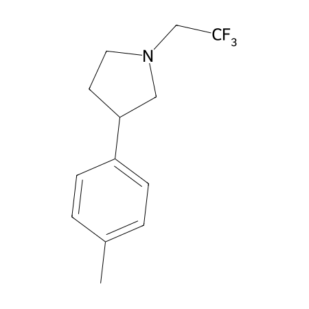 Cc1ccc(C2CCN(CC(F)(F)F)C2)cc1